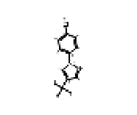 CC(C)(C)c1cnn(-c2ccc(Cl)cc2)c1